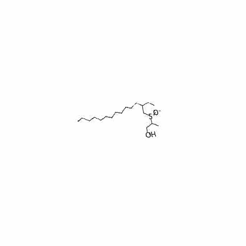 CCCCCCCCCCCCC(CC)C[S+]([O-])C(C)CO